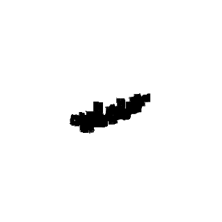 O=C(NN1CCC(C(=O)Nc2nc3cc(Cl)ccc3[nH]2)CC1)c1ccc2cc(Cl)ccc2n1